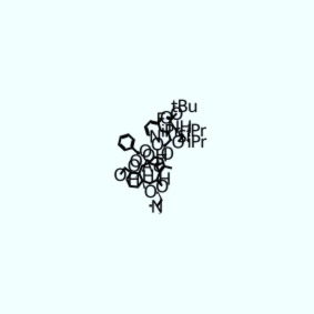 CC(=O)O[C@@]12COC1CC[C@@]1(C)[C@@H]3O[C@H](CN(C)C)O[C@@H]3C3=C(C)[C@@H](OC(=O)[C@H](O[Si](C(C)C)(C(C)C)C(C)C)[C@@H](NC(=O)OC(C)(C)C)c4ncccc4F)C[C@@](O)([C@@H](OC(=O)c4ccccc4)[C@@H]12)C3(C)C